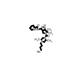 C[C@@H]1CN(C(=O)N2Cc3c(NC(=O)c4ccccn4)n[nH]c3C2(C)C)[C@@H](C)CN1CCCCC#N